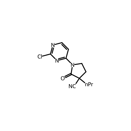 CCCC1(C#N)CCN(c2ccnc(Cl)n2)C1=O